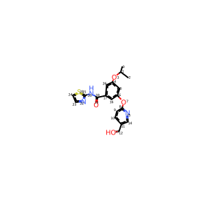 CC(C)Oc1cc(Oc2ccc(CO)cn2)cc(C(=O)Nc2nccs2)c1